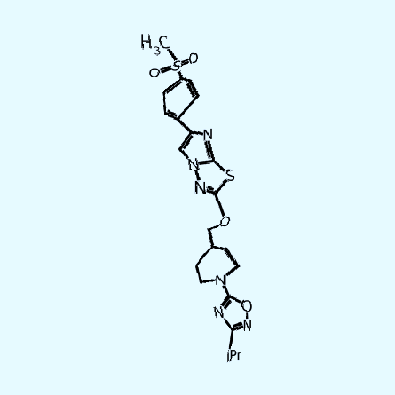 CC(C)c1noc(N2CCC(COc3nn4cc(-c5ccc(S(C)(=O)=O)cc5)nc4s3)CC2)n1